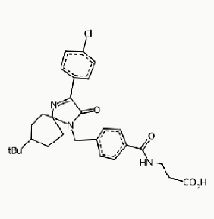 CC(C)(C)C1CCC2(CC1)N=C(c1ccc(Cl)cc1)C(=O)N2Cc1ccc(C(=O)NCCC(=O)O)cc1